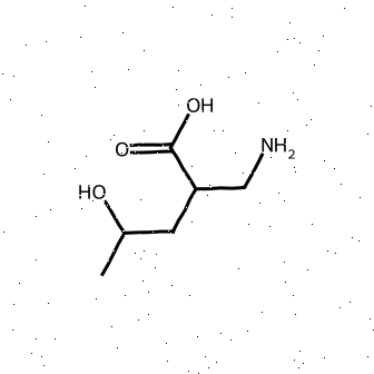 CC(O)CC(CN)C(=O)O